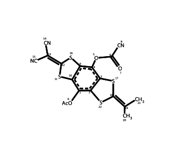 CC(=O)Oc1c2c(c(OC(=O)C#N)c3c1SC(=C(C#N)C#N)S3)SC(=C(C)C)S2